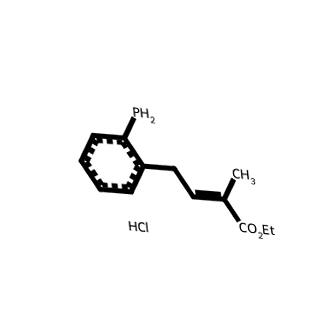 CCOC(=O)C(C)=CCc1ccccc1P.Cl